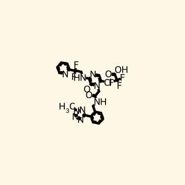 Cn1nnc(-c2ccccc2CNC(=O)Cn2c(Cl)cnc(NCC(F)(F)c3ccccn3)c2=O)n1.O=C(O)C(F)(F)F